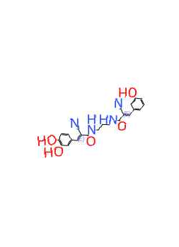 N#C/C(=C\c1cccc(O)c1)C(=O)NCCCNC(=O)/C(C#N)=C/c1ccc(O)c(O)c1